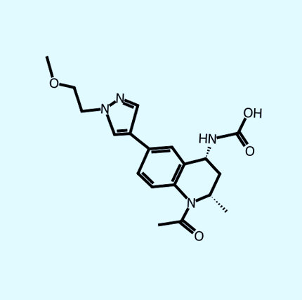 COCCn1cc(-c2ccc3c(c2)[C@H](NC(=O)O)C[C@H](C)N3C(C)=O)cn1